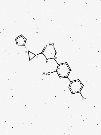 CCc1ccc(-c2ccc([C@H](CO)NC(=O)[C@H]3C[C@@H]3c3cccs3)c(OC)c2)cc1